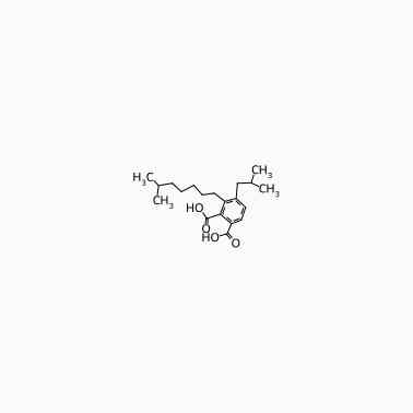 CC(C)CCCCCc1c(CC(C)C)ccc(C(=O)O)c1C(=O)O